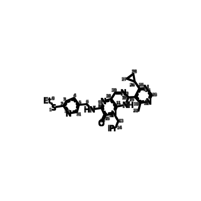 CCSc1ccc(CNc2nc3c(n(CC(C)C)c2=O)NC(c2c(C)ncnc2C2CC2)N=C3)cn1